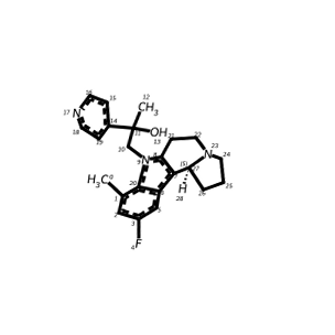 Cc1cc(F)cc2c3c(n(CC(C)(O)c4ccncc4)c12)CCN1CCC[C@@H]31